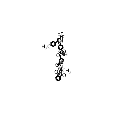 Cc1ccc(-c2cc(C(F)(F)F)nn2-c2ccc(S(=O)(=O)NC(=O)C3CCN([N+]([O-])=NOC(C)N4C(=O)c5ccccc5C4=O)C3)cc2)cc1